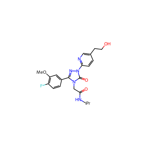 COc1cc(-c2nn(-c3ccc(CCO)cn3)c(=O)n2CC(=O)NC(C)C)ccc1F